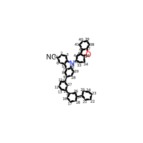 N#Cc1ccc2c(c1)c1cc(-c3cccc(-c4cccc(-c5ccccc5)c4)c3)ccc1n2-c1ccc2oc3ccccc3c2c1